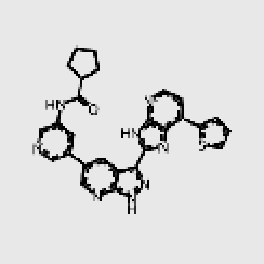 O=C(Nc1cncc(-c2cnc3[nH]nc(-c4nc5c(-c6cccs6)ccnc5[nH]4)c3c2)c1)C1CCCC1